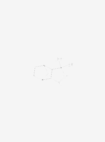 CCC1(CC)OCC2C3CCC(C3)C21